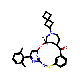 Cc1cccc(C)c1-c1cc2nc(n1)NSc1cccc(c1)C(=O)C1CCN(C3CC4(CCC4)C3)C[C@H](C1)O2